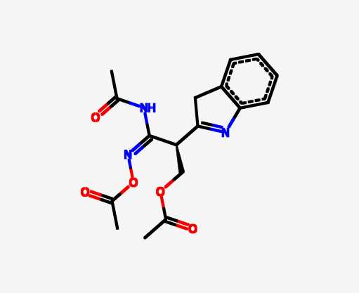 CC(=O)N/C(=N/OC(C)=O)[C@H](COC(C)=O)C1=Nc2ccccc2C1